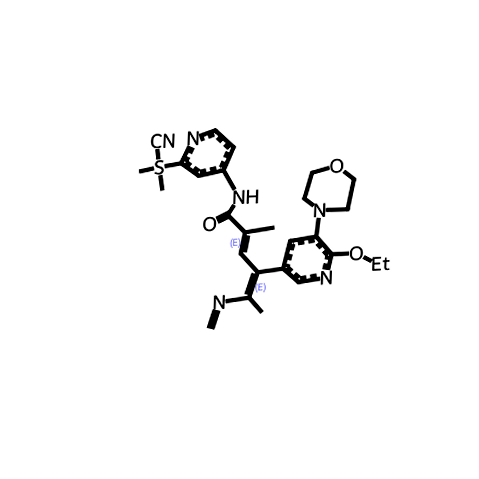 C=N/C(C)=C(\C=C(/C)C(=O)Nc1ccnc(S(C)(C)C#N)c1)c1cnc(OCC)c(N2CCOCC2)c1